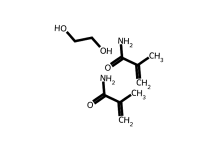 C=C(C)C(N)=O.C=C(C)C(N)=O.OCCO